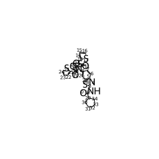 O=C(Nc1nc2ccc(N(S(=O)(=O)c3cccs3)S(=O)(=O)c3cccs3)cc2s1)C1CCCCC1